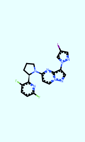 Fc1ccc(F)c([C@H]2CCCN2c2ccn3ncc(-n4cc(I)cn4)c3n2)n1